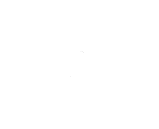 COCCCCCC(=O)C(C)(C)C